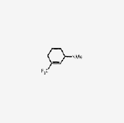 CNC1C=C(C(F)(F)F)CCC1